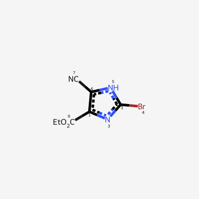 CCOC(=O)c1nc(Br)[nH]c1C#N